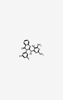 CCN(c1nc(N)nc(N)c1C#N)c1nc2ccccc2c(=O)n1-c1cc(F)cc(F)c1